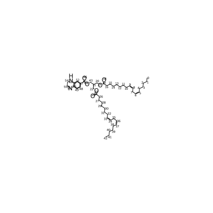 CCCCC/C=C\C/C=C\CCCCCCCC(=O)OCC(COC(=O)CCCCCCC/C=C\C/C=C\CCCCC)COC(=O)c1ccc2c(c1)NCC=N2